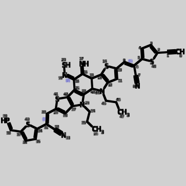 C#Cc1ccc(/C(C#N)=C/c2cc3c(s2)C2C(=N)/C(=N\S)c4c(n(CCC)c5cc(/C=C(\C#N)c6ccc(C=P)s6)sc45)C2N3CCC)s1